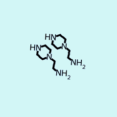 NCCN1CCNCC1.NCCN1CCNCC1